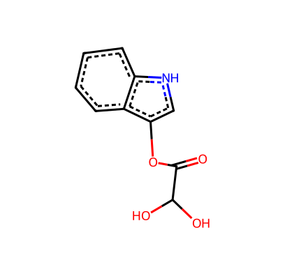 O=C(Oc1c[nH]c2ccccc12)C(O)O